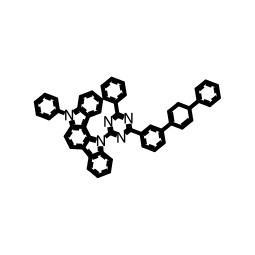 C1=CC(c2ccccc2)CC=C1c1cccc(-c2nc(-c3ccccc3)nc(-n3c4ccccc4c4ccc5c(c6ccccc6n5-c5ccccc5)c43)n2)c1